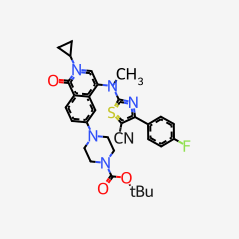 CN(c1nc(-c2ccc(F)cc2)c(C#N)s1)c1cn(C2CC2)c(=O)c2ccc(N3CCN(C(=O)OC(C)(C)C)CC3)cc12